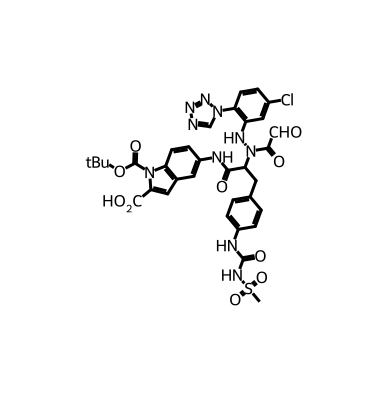 CC(C)(C)OC(=O)n1c(C(=O)O)cc2cc(NC(=O)C(Cc3ccc(NC(=O)NS(C)(=O)=O)cc3)N(Nc3cc(Cl)ccc3-n3cnnn3)C(=O)C=O)ccc21